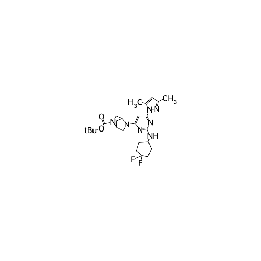 Cc1cc(C)n(-c2cc(N3CC4CC3CN4C(=O)OC(C)(C)C)nc(NC3CCC(F)(F)CC3)n2)n1